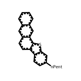 CCCCCc1ccc2c(c1)sc1c3cc4ccccc4cc3ccc21